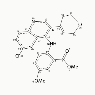 COC(=O)c1cc(OC)ccc1Nc1c(C2=CCOCC2)cnc2ccc(Cl)cc12